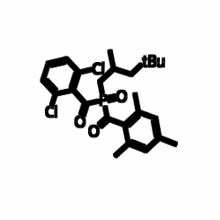 Cc1cc(C)c(C(=O)P(=O)(CC(C)CC(C)(C)C)C(=O)c2c(Cl)cccc2Cl)c(C)c1